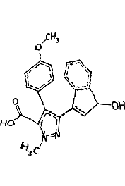 COc1ccc(-c2c(C3=CC(O)c4ccccc43)nn(C)c2C(=O)O)cc1